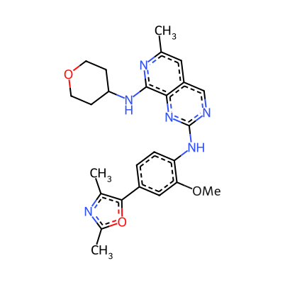 COc1cc(-c2oc(C)nc2C)ccc1Nc1ncc2cc(C)nc(NC3CCOCC3)c2n1